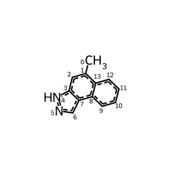 Cc1cc2[nH]ncc2c2ccccc12